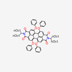 CCCCCCCCC(CCCCCCCC)N1C(=O)c2cc(Oc3ccccc3)c3c4c(Oc5ccccc5)cc5c6c(cc(Oc7ccccc7)c(c7c(Oc8ccccc8)cc(c2c37)C1=O)c64)C(=O)N(C(CCCCCCCC)CCCCCCCC)C5=O